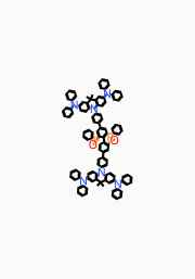 CC1(C)c2cc(N(c3ccccc3)c3ccccc3)ccc2N(c2ccc(-c3cc4c5c(c3)P(=O)(c3ccccc3)c3cc(-c6ccc(N7c8ccc(N(c9ccccc9)c9ccccc9)cc8C(C)(C)c8cc(N(c9ccccc9)c9ccccc9)ccc87)cc6)cc(c3-5)P4(=O)c3ccccc3)cc2)c2ccc(N(c3ccccc3)c3ccccc3)cc21